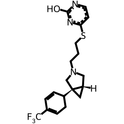 Oc1nccc(SCCCN2C[C@@H]3C[C@]3(C3C=CC(C(F)(F)F)=CC3)C2)n1